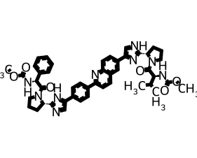 COC(=O)N[C@H](C(=O)N1CCC[C@H]1c1nc(-c2ccc3nc(-c4ccc(-c5cnc([C@@H]6CCCN6C(=O)[C@H](NC(=O)OC)c6ccccc6)[nH]5)cc4)ccc3c2)c[nH]1)C(C)C